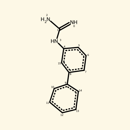 N=C(N)Nc1cccc(-c2ccccc2)c1